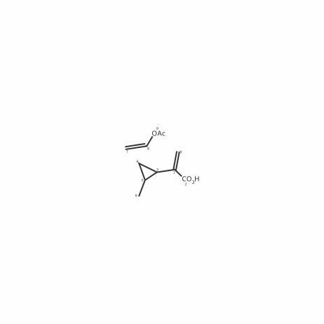 C=C(C(=O)O)C1CC1C.C=COC(C)=O